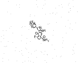 NC(=O)c1ccc(F)c(C(=O)c2c[nH]c3ncc(-c4cnc(OC(F)(F)F)nc4)cc23)c1F